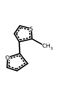 Cc1sccc1-c1ccco1